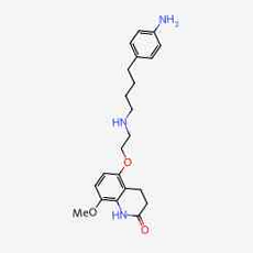 COc1ccc(OCCNCCCCc2ccc(N)cc2)c2c1NC(=O)CC2